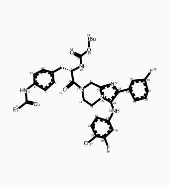 CCC(=O)Nc1ccc(C[C@H](NC(=O)OC(C)(C)C)C(=O)N2CCn3c(nc(-c4cccc(F)c4)c3Nc3ccc(Cl)c(F)c3)C2)cc1